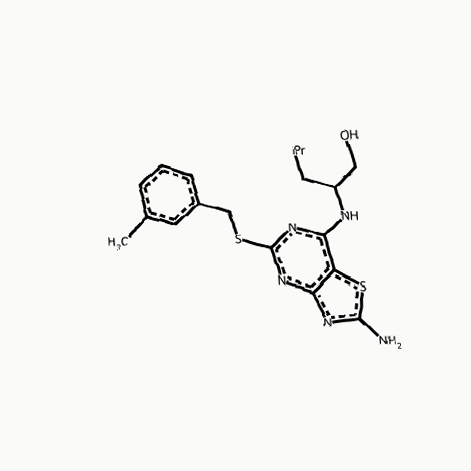 Cc1cccc(CSc2nc(NC(CO)CC(C)C)c3sc(N)nc3n2)c1